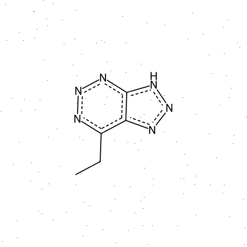 CCc1nnnc2[nH]nnc12